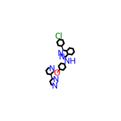 Clc1ccc(-c2nnc(Nc3ccc(Oc4ncccc4-c4ccncn4)cc3)c3ccccc23)cc1